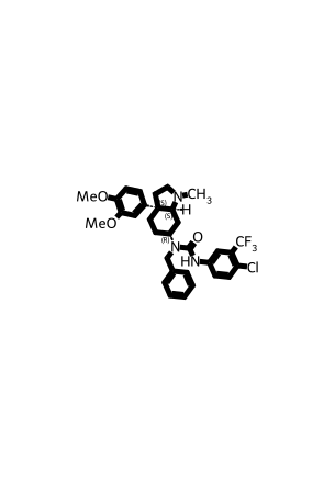 COc1ccc([C@@]23CC[C@@H](N(Cc4ccccc4)C(=O)Nc4ccc(Cl)c(C(F)(F)F)c4)C[C@@H]2N(C)CC3)cc1OC